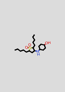 CCCCCC1CC(NC2CCC(O)CC2)C(CCCCC)S1(=O)=O